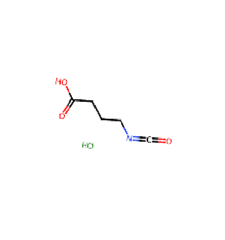 Cl.O=C=NCCCC(=O)O